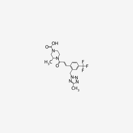 Cc1nnn(Cc2cc(C(F)(F)F)ccc2C=CC(=O)N2CCN(C(=O)O)CC2C)n1